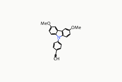 C#Cc1ccc(-n2c3ccc(OC)cc3c3cc(OC)ccc32)cc1